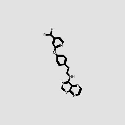 FC(F)c1ccnc(Oc2ccc(CCNc3ncnc4nccnc34)cc2)c1